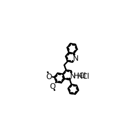 COc1cc2c(Cc3cnc4ccccc4c3)cnc(-c3ccccc3)c2cc1OC.Cl.Cl